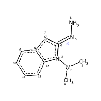 CN(C)n1/c(=N/N)sc2ccccc21